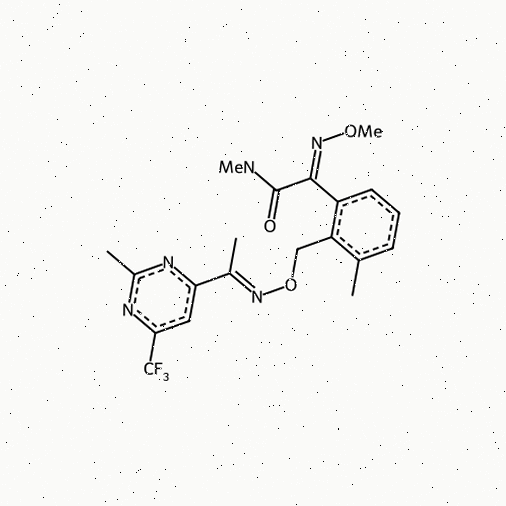 CNC(=O)/C(=N/OC)c1cccc(C)c1CO/N=C(\C)c1cc(C(F)(F)F)nc(C)n1